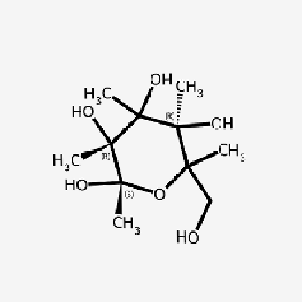 CC1(CO)O[C@](C)(O)[C@](C)(O)C(C)(O)[C@@]1(C)O